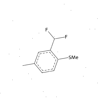 CSc1ccc(C)cc1C(F)F